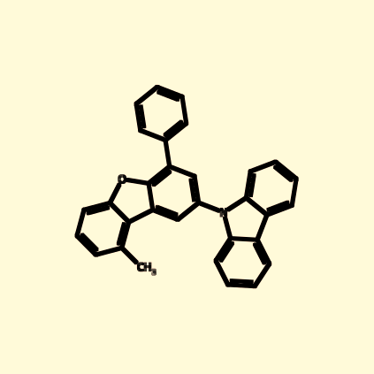 Cc1cccc2oc3c(-c4ccccc4)cc(-n4c5ccccc5c5ccccc54)cc3c12